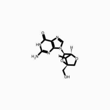 Nc1nc2c(ncn2[C@@H]2O[C@@]3(CO)CO[C@H]2C3I)c(=O)[nH]1